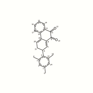 Cc1cc(C)c(C2C=C3C(=O)C(=O)c4cccnc4C3=CC2)c(C)c1